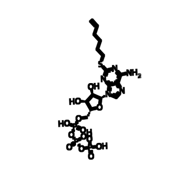 C=CCCCCSc1nc(N)c2ncn([C@@H]3O[C@H](COP(=O)(O)OP(=O)(O)OP(=O)(O)O)[C@@H](O)[C@H]3O)c2n1